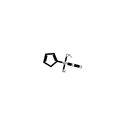 C[C](=O)[Mn]([CH3])(=[C]=O)[C]1=CC=CC1